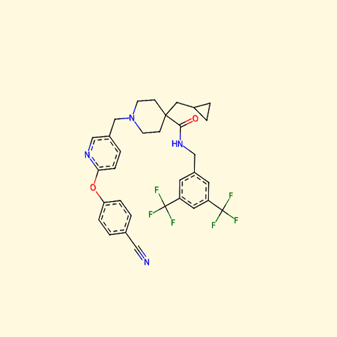 N#Cc1ccc(Oc2ccc(CN3CCC(CC4CC4)(C(=O)NCc4cc(C(F)(F)F)cc(C(F)(F)F)c4)CC3)cn2)cc1